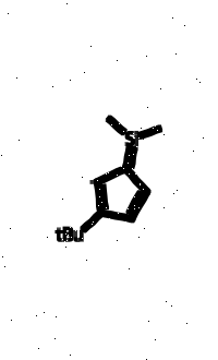 C[Si](C)=C1[C]=C(C(C)(C)C)C=C1